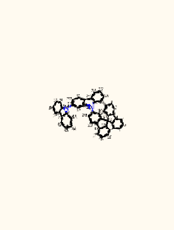 c1ccc2c(c1)-c1ccccc1C21c2ccccc2-c2ccc(-n3c4ccccc4c4ccc(-n5c6ccccc6c6ccccc65)cc43)cc21